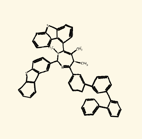 CC1=C(c2cccc3sc4ccccc4c23)N(C)C(c2ccc3c(c2)C2C=CC=CC2S3)N=C(C2=CCCC(c3cccc(-c4ccccc4-c4ccccc4)c3)=C2)[C@@H]1C